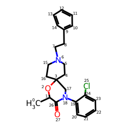 CC1OC2(CCN(CCc3ccccc3)CC2)CN(c2ccccc2Cl)C1=O